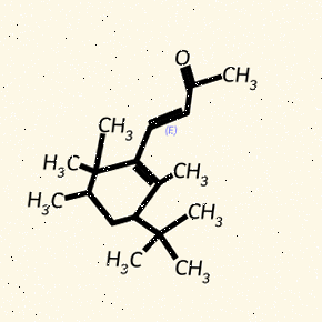 CC(=O)/C=C/C1=C(C)C(C(C)(C)C)CC(C)C1(C)C